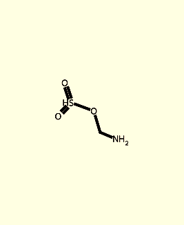 NCO[SH](=O)=O